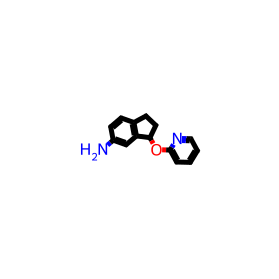 Nc1ccc2c(c1)C(Oc1ccccn1)CC2